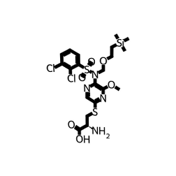 COc1nc(SC[C@H](N)C(=O)O)cnc1N(COCC[Si](C)(C)C)S(=O)(=O)c1cccc(Cl)c1Cl